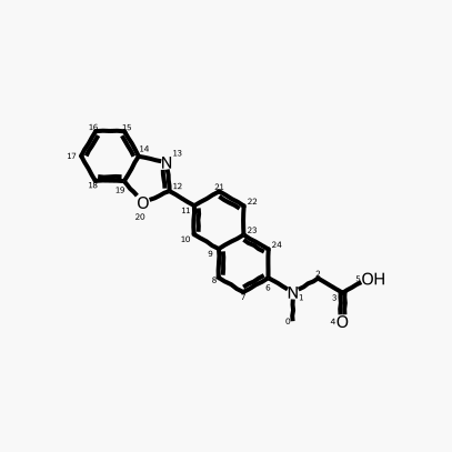 CN(CC(=O)O)c1ccc2cc(-c3nc4ccccc4o3)ccc2c1